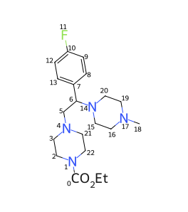 CCOC(=O)N1CCN(CC(c2ccc(F)cc2)N2CCN(C)CC2)CC1